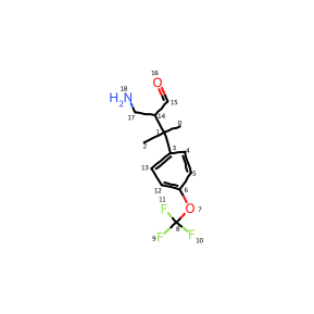 CC(C)(c1ccc(OC(F)(F)F)cc1)C(C=O)CN